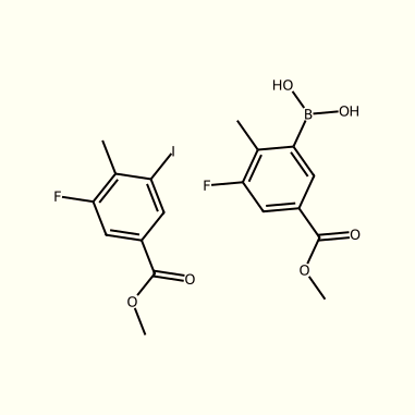 COC(=O)c1cc(F)c(C)c(B(O)O)c1.COC(=O)c1cc(F)c(C)c(I)c1